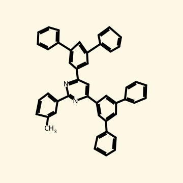 Cc1cccc(-c2nc(-c3cc(-c4ccccc4)cc(-c4ccccc4)c3)cc(-c3cc(-c4ccccc4)cc(-c4ccccc4)c3)n2)c1